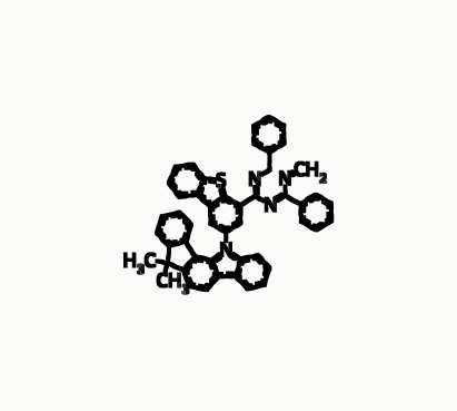 C=N/C(=N\C(=N/Cc1ccccc1)c1cc(-n2c3ccccc3c3ccc4c(c32)-c2ccccc2C4(C)C)cc2c1sc1ccccc12)c1ccccc1